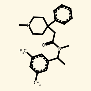 CC(c1cc(C(F)(F)F)cc(C(F)(F)F)c1)N(C)C(=O)CC1(c2ccccc2)CCN(C)CC1